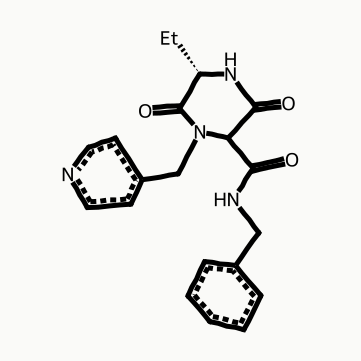 CC[C@@H]1NC(=O)C(C(=O)NCc2ccccc2)N(Cc2ccncc2)C1=O